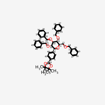 CC1(C)OB(c2ccc([C@@H]3O[C@H](COCc4ccccc4)[C@@H](OCc4ccccc4)[C@H](OCc4ccccc4)[C@H]3OCc3ccccc3)cc2)OC1(C)C